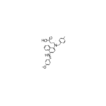 COc1ccc(SNc2ccc(N(Cc3ccc(C)cc3)[C@@H](C)CC(=O)O)c3ccccc23)cc1